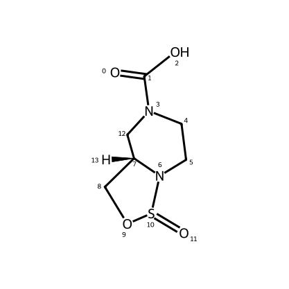 O=C(O)N1CCN2[C@H](COS2=O)C1